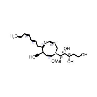 C#CC1/C=C\N([C@H](OC)[C@H](O)[C@H](O)CCO)C/N=C\N=C/1C/C=C/C=C\C=C